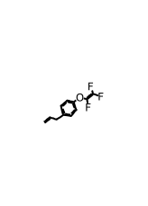 C=CCc1ccc(OC(F)=C(F)F)cc1